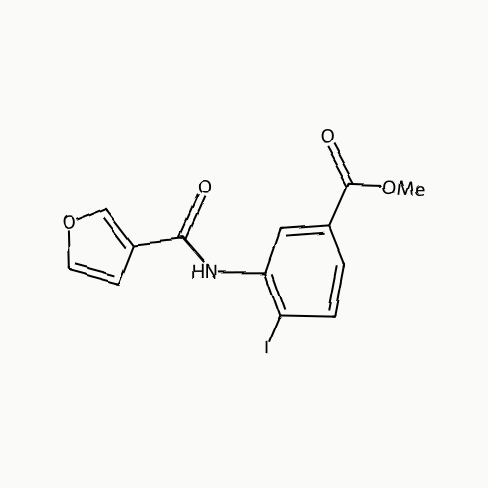 COC(=O)c1ccc(I)c(NC(=O)c2ccoc2)c1